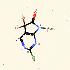 CCCCCN1C(=O)C(Br)(Br)c2cnc(Cl)nc21